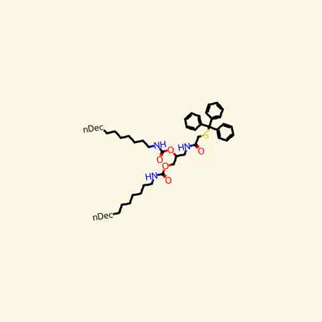 CCCCCCCCCCCCCCCCCNC(=O)OCC(CNC(=O)CSC(c1ccccc1)(c1ccccc1)c1ccccc1)OC(=O)NCCCCCCCCCCCCCCCCC